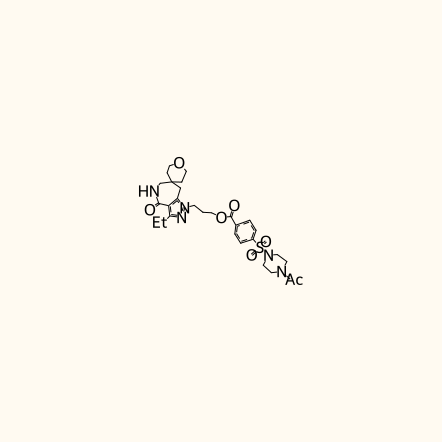 CCc1nn(CCCOC(=O)c2ccc(S(=O)(=O)N3CCN(C(C)=O)CC3)cc2)c2c1C(=O)NCC1(CCOCC1)C2